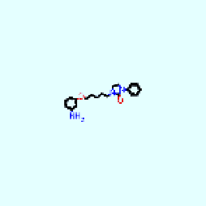 Nc1cccc(OCCCCCN2CCN(c3ccccc3)C2=O)c1